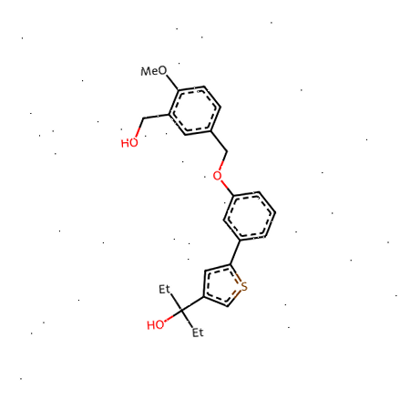 CCC(O)(CC)c1csc(-c2cccc(OCc3ccc(OC)c(CO)c3)c2)c1